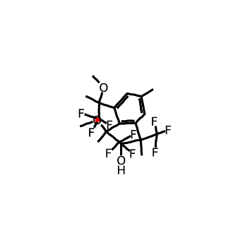 COC(C)(c1cc(C)cc(C(C)(CO)C(F)(F)F)c1C(C)(OC)C(F)(F)F)C(F)(F)F